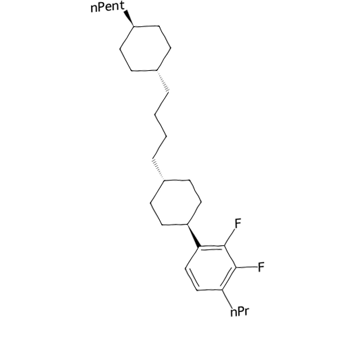 CCCCC[C@H]1CC[C@H](CCCC[C@H]2CC[C@H](c3ccc(CCC)c(F)c3F)CC2)CC1